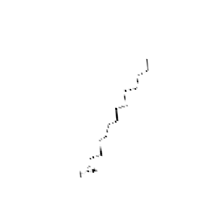 CCCCCCCCCCCC[CH2][Ge][I]